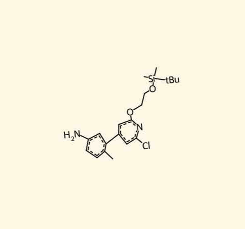 Cc1ccc(N)cc1-c1cc(Cl)nc(OCCO[Si](C)(C)C(C)(C)C)c1